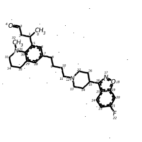 CC(CC=O)c1cc(CCCCN2CCC(c3noc4cc(F)ccc34)CC2)cc2c1N(C)CCC2